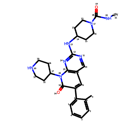 Cc1ccccc1-c1cc2cnc(NC3CCN(C(=O)NC(C)C)CC3)nc2n(C2CCNCC2)c1=O